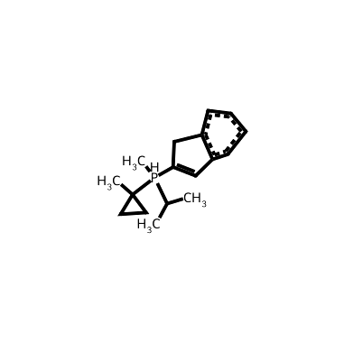 CC(C)[PH](C)(C1=Cc2ccccc2C1)C1(C)CC1